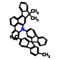 Cc1ccc2c(c1)C1(c3ccccc3-c3ccc(N(c4ccc5c(c4)C(C)(C)c4ccccc4-5)c4ccccc4-c4ccccc4)cc31)c1cc(C)ccc1-2